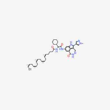 CC/C=C\C/C=C\C/C=C\C/C=C\C/C=C\CCCC(=O)N[C@@H](C(=O)Nc1cc2c3c(c(-c4cnn(C)c4)[nH]c3c1)C=NNC2=O)C1CCCCC1